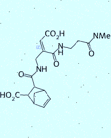 CNC(=O)CCNC(=O)/C(=C\C(=O)O)CNC(=O)C1C2C=CC(C2)C1C(=O)O